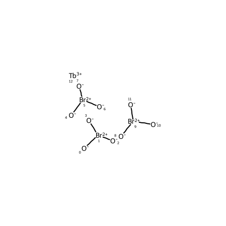 [O-][Br+2]([O-])[O-].[O-][Br+2]([O-])[O-].[O-][Br+2]([O-])[O-].[Tb+3]